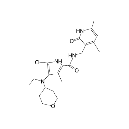 CCN(c1c(Cl)[nH]c(C(=O)NCc2c(C)cc(C)[nH]c2=O)c1C)C1CCOCC1